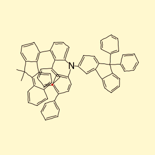 CC1(C)c2cccc(-c3cccc(N(c4ccc(-c5ccccc5)cc4)c4ccc5c(c4)-c4ccccc4C5(c4ccccc4)c4ccccc4)c3-c3ccccc3)c2-c2ccc3ccccc3c21